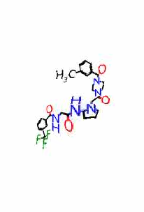 Cc1cccc(C(=O)N2CCN(C(=O)CN3CCCC3NC(=O)CNC(=O)c3cccc(C(F)(F)F)c3)CC2)c1